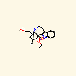 CCOC(=O)C12C[C@@H]3CC(CCOC)C1N(CCc1c2[nH]c2ccccc12)C3